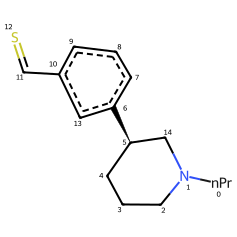 CCCN1CCC[C@@H](c2cccc(C=S)c2)C1